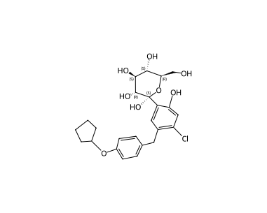 OC[C@H]1O[C@@](O)(c2cc(Cc3ccc(OC4CCCC4)cc3)c(Cl)cc2O)[C@H](O)[C@@H](O)[C@@H]1O